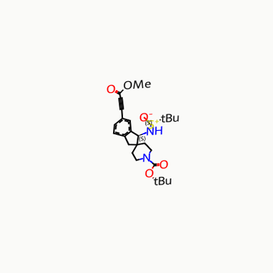 COC(=O)C#Cc1ccc2c(c1)[C@@H](N[S@+]([O-])C(C)(C)C)C1(CCN(C(=O)OC(C)(C)C)CC1)C2